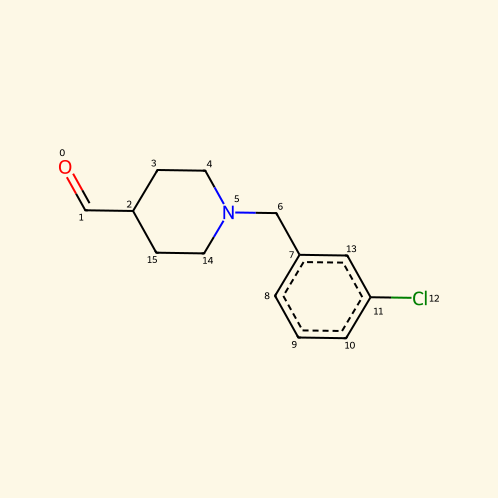 O=CC1CCN(Cc2cccc(Cl)c2)CC1